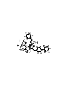 CCC(C)C(NC(=O)C(Cc1ccc(-c2ccccc2)cc1)CP(=O)(O)CCc1ccccc1)C(=O)O